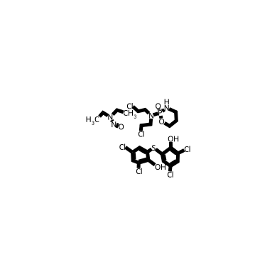 CCN(CC)N=O.O=P1(N(CCCl)CCCl)NCCCO1.Oc1c(Cl)cc(Cl)cc1Sc1cc(Cl)cc(Cl)c1O